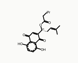 CC(C)=CC[C@@H](OC(=O)CC(C)C)C1=CC(=O)c2c(O)ccc(O)c2C1=O